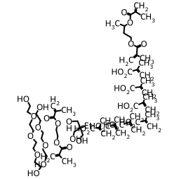 C=C(C)C(=O)O.C=C(C)C(=O)O.C=C(C)C(=O)O.C=C(C)C(=O)O.C=C(C)C(=O)O.C=C(C)C(=O)O.C=C(C)C(=O)O.C=C(C)C(=O)OCCC(C)OC(=O)C(=C)C.C=C(C)C(=O)OCCOC(=O)C(=C)C.CCC(CO)(CO)CO.OCCOCCOCCO.OCCOCCOCCOCCO